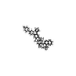 COc1nc(N2CCC(N3CCN(C)CC3)CC2)c(-c2ccsc2)cc1Nc1ncc(Br)c(Nc2ccc3nccnc3c2P(C)(C)=O)n1